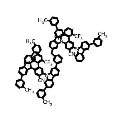 Cc1cccc(-c2ccc3c(c2)C(c2cc(C#N)c(-n4c5cc(-c6cccc(C)c6)ccc5c5ccc(-c6cccc(Cc7ccc8c9cc(-c%10cccc(C)c%10)ccc9n(-c9cc(C#N)c(-n%10c%11ccccc%11c%11cc(-c%12cccc(C)c%12)ccc%11%10)cc9-c9c(C(F)(F)F)cccc9C(F)(F)F)c8c7)c6)cc54)cc2-c2c(C(F)(F)F)cccc2C(F)(F)F)c2cc(-c4cccc(C)c4)ccc2-3)c1